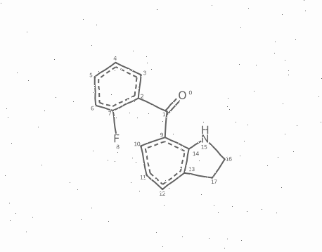 O=C(c1ccccc1F)c1cccc2c1NCC2